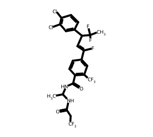 CC(NC(=O)CC(F)(F)F)NC(=O)c1ccc(/C(F)=C/C(c2ccc(Cl)c(Cl)c2)C(C)(F)F)cc1C(F)(F)F